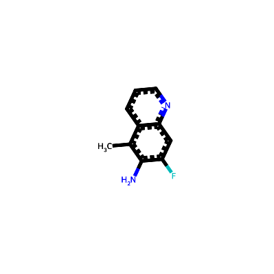 Cc1c(N)c(F)cc2ncccc12